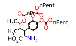 CCCCCOC(=O)Oc1ccc(C(C(C)C(C)OC(=O)CCC)[C@H](N)C(=O)O)cc1OC(=O)OCCCCC